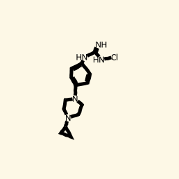 N=C(NCl)Nc1ccc(N2CCN(C3CC3)CC2)cc1